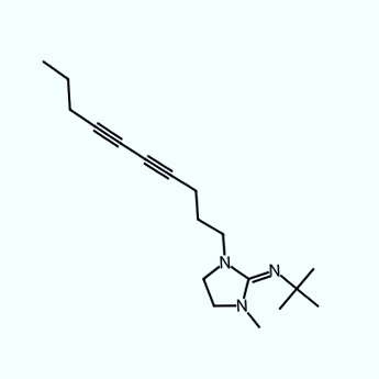 CCCC#CC#CCCCN1CCN(C)C1=NC(C)(C)C